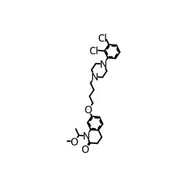 COC(C)N1C(=O)CCc2ccc(OCCCCN3CCN(c4cccc(Cl)c4Cl)CC3)cc21